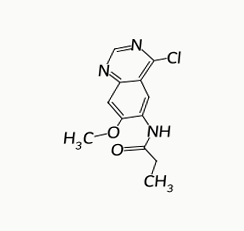 CCC(=O)Nc1cc2c(Cl)ncnc2cc1OC